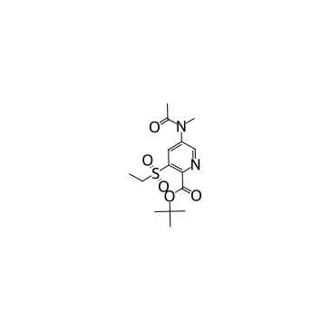 CCS(=O)(=O)c1cc(N(C)C(C)=O)cnc1C(=O)OC(C)(C)C